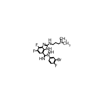 CN(C)CCCNc1nc2c(F)c(F)cc(C(=N)N(O)c3ccc(F)c(Br)c3)c2[nH]1